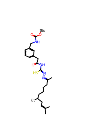 CCC(CC=C(C)C)CCCC/C(C)=N/N=C(\S)NC(=O)Cc1cccc(CNC(=O)OC(C)(C)C)c1